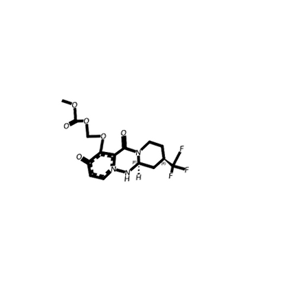 COC(=O)OCOc1c2n(ccc1=O)N[C@@H]1C[C@H](C(F)(F)F)CCN1C2=O